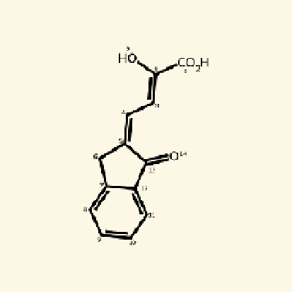 O=C(O)C(O)=CC=C1Cc2ccccc2C1=O